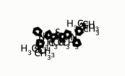 CC1(C)c2cc(N(c3ccccc3)c3ccc([Si](C)(C)C)cc3)ccc2-c2sc3c(c21)C(C)(C)c1cc(N(c2ccccc2)c2ccc([Si](C)(C)C)cc2)ccc1-3